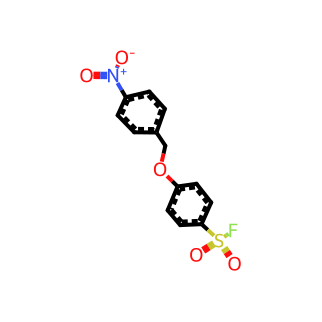 O=[N+]([O-])c1ccc(COc2ccc(S(=O)(=O)F)cc2)cc1